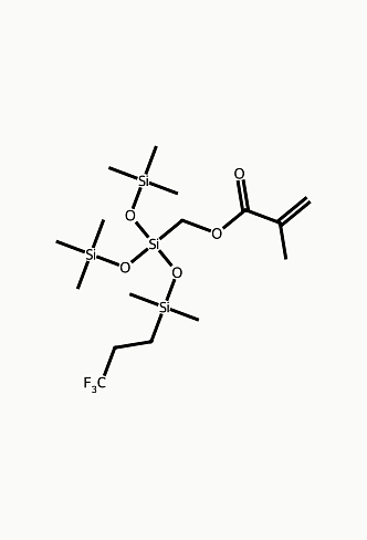 C=C(C)C(=O)OC[Si](O[Si](C)(C)C)(O[Si](C)(C)C)O[Si](C)(C)CCC(F)(F)F